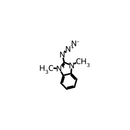 Cn1c(N=[N+]=[N-])[n+](C)c2ccccc21